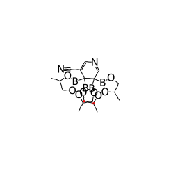 CC1COB(C2(B3OCC(C)O3)C=NC=C(C#N)C2(B2OCC(C)O2)B2OCC(C)O2)O1